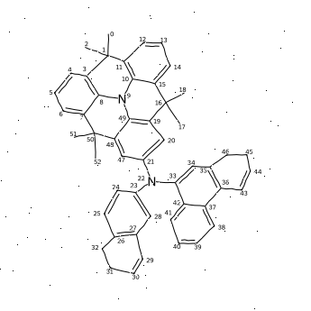 CC1(C)c2cccc3c2N2c4c1cccc4C(C)(C)c1cc(N(c4ccc5c(c4)C=CCC5)c4cc5c(c6ccccc46)C=CCC5)cc(c12)C3(C)C